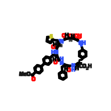 COC(=O)c1ccc(-c2ccc(C[C@@H]3NC(=O)[C@@H](Cc4cccs4)NC(=O)[C@H](O)[C@@H](O)C(=O)Nc4ccc(cc4)C[C@@H](C(=O)O)NC(=O)[C@@H](Cc4ccccc4)NC3=O)cc2)cc1